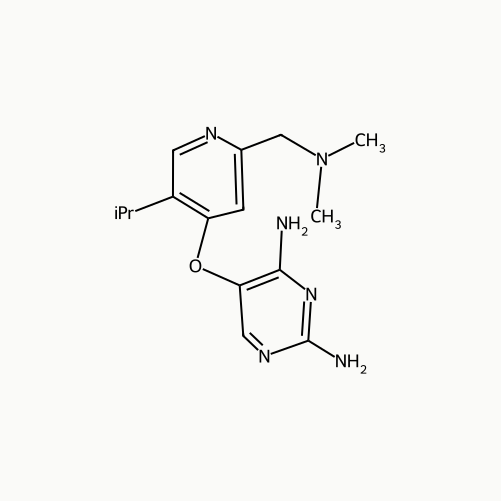 CC(C)c1cnc(CN(C)C)cc1Oc1cnc(N)nc1N